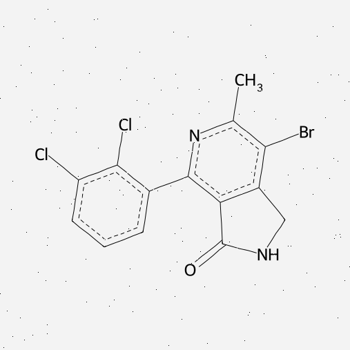 Cc1nc(-c2cccc(Cl)c2Cl)c2c(c1Br)CNC2=O